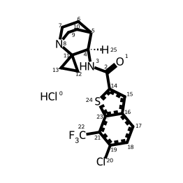 Cl.O=C(N[C@@H]1C2CCN(CC2)C12CC2)c1cc2ccc(Cl)c(C(F)(F)F)c2s1